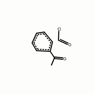 CC(=O)c1ccccc1.O=CCl